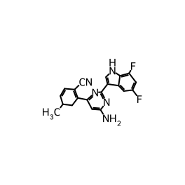 CC1C=CC(C#N)=C(c2cc(N)nc(-c3c[nH]c4c(F)cc(F)cc34)n2)C1